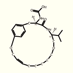 CC(C)[C@H]1COCCCCCC=CCOc2ccc(cc2)C[C@@H](NC(=O)O)C(=O)N1